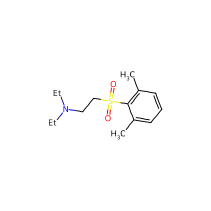 CCN(CC)CCS(=O)(=O)c1c(C)cccc1C